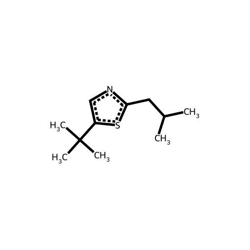 CC(C)Cc1ncc(C(C)(C)C)s1